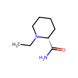 CCN1CCCC[C@@H]1C(N)=O